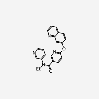 CCN(C(=O)c1ccc(Oc2ccc3cccnc3c2)nc1)c1cccnc1